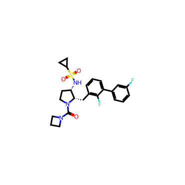 O=C(N1CCC1)N1CC[C@H](NS(=O)(=O)C2CC2)[C@@H]1Cc1cccc(-c2cccc(F)c2)c1F